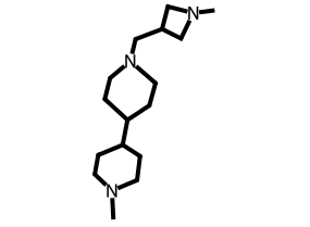 CN1CCC(C2CCN(CC3CN(C)C3)CC2)CC1